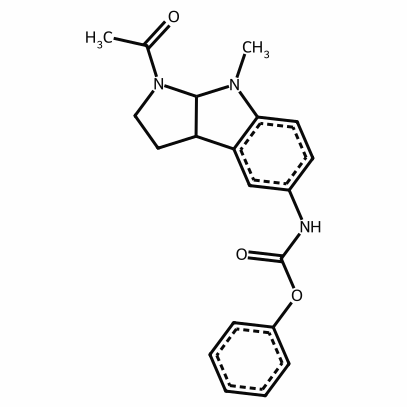 CC(=O)N1CCC2c3cc(NC(=O)Oc4ccccc4)ccc3N(C)C21